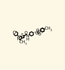 Cc1ccc(S(=O)(=O)OC[C@H]2CC[C@H](NC(=O)c3cc4c(C)nn(C5CCOCC5)c4s3)CC2)cc1